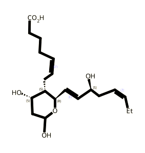 CC/C=C\C[C@H](O)/C=C/[C@H]1OC(O)C[C@H](O)[C@@H]1C/C=C\CCCC(=O)O